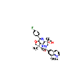 C#C[C@@]1(C)COc2c1cc(C(O)(CNC(=O)c1cc(OC)c3ncccc3c1)C(F)(F)F)nc2-c1ccc(F)cc1